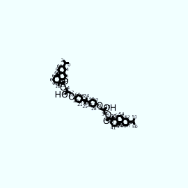 CC(C)C1=CC2=CCC3C(C)(C(=O)OCC(O)COC4CCC(C(C)(C)C5CCC(OCC(O)COC(=O)C6(C)CCCC7(C)C8CCC(C(C)C)=CC8=CCC67)CC5)CC4)CCCC3(C)C2CC1